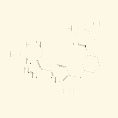 Cc1nc(-c2nnn(C)c2CN)ccc1O[C@H]1CCC[C@H](C(=O)OC(C)C)C1